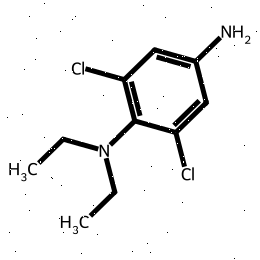 CCN(CC)c1c(Cl)cc(N)cc1Cl